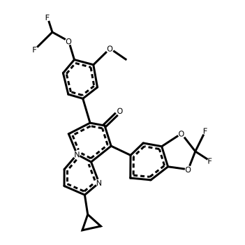 COc1cc(-c2cn3ccc(C4CC4)nc3c(-c3ccc4c(c3)OC(F)(F)O4)c2=O)ccc1OC(F)F